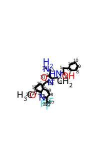 C=C(NC(O)Cc1ccccc1)c1nc(-c2ccc(OC)c3nc(C(F)(F)F)ccc23)oc1CN